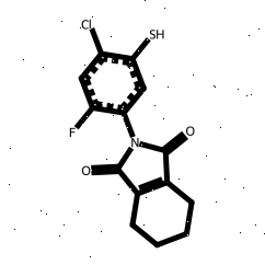 O=C1C2=C(CCCC2)C(=O)N1c1cc(S)c(Cl)cc1F